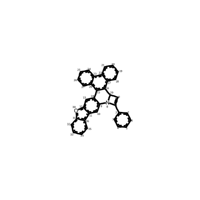 C1=C(c2ccccc2)N2c3cc4c(cc3-c3c(c5ccccc5c5ccccc35)C12)oc1ccccc14